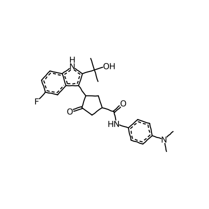 CN(C)c1ccc(NC(=O)C2CC(=O)C(c3c(C(C)(C)O)[nH]c4ccc(F)cc34)C2)cc1